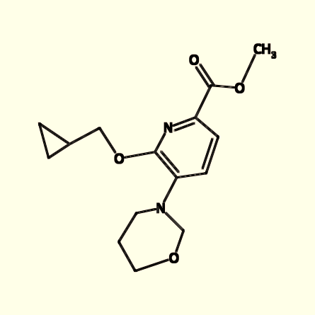 COC(=O)c1ccc(N2CCCOC2)c(OCC2CC2)n1